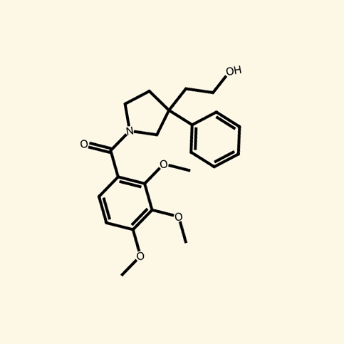 COc1ccc(C(=O)N2CCC(CCO)(c3ccccc3)C2)c(OC)c1OC